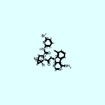 Cc1cccc2c3c(N)ncnc3n(CC(=O)N3[C@H](C(=O)Nc4cccc(Br)n4)C[C@@]4(C)C[C@@H]34)c12